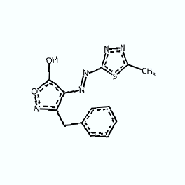 Cc1nnc(N=Nc2c(Cc3ccccc3)noc2O)s1